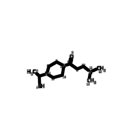 CC(S)N1CCN(C(=O)CCN(C)C)CC1